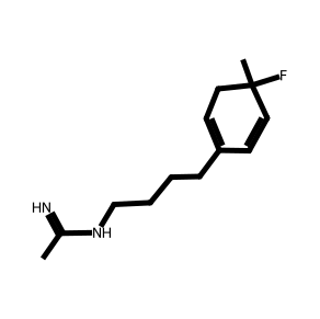 CC(=N)NCCCCC1=CCC(C)(F)C=C1